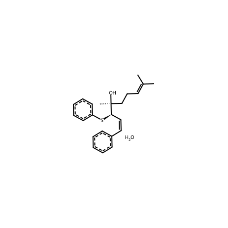 CC(C)=CCC[C@](C)(O)[C@@H](/C=C\c1ccccc1)Sc1ccccc1.O